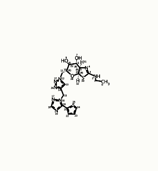 CCNC1=N[C@@H]2[C@@H](O)[C@H](O)[C@@H](Cn3cc(Cn4ncnc4-c4cccs4)nn3)O[C@@H]2S1